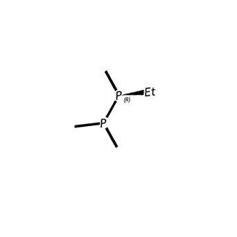 CC[P@](C)P(C)C